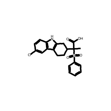 CC(C(=O)O)(C1CCc2c([nH]c3ccc(Cl)cc23)C1)S(=O)(=O)c1ccccc1